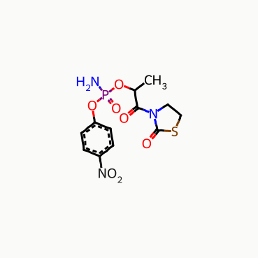 CC(OP(N)(=O)Oc1ccc([N+](=O)[O-])cc1)C(=O)N1CCSC1=O